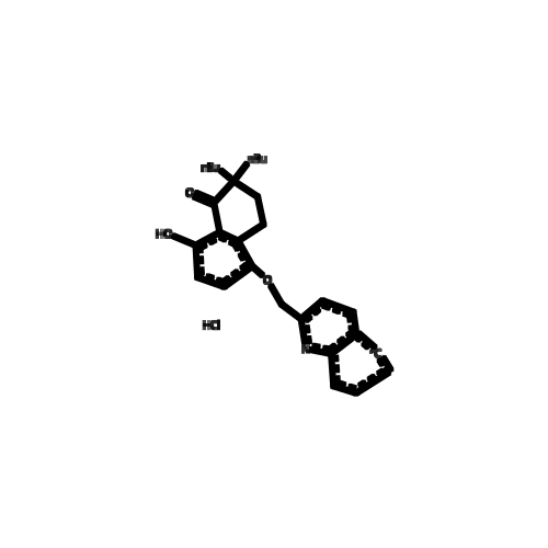 CCCCC1(CCCC)CCc2c(OCc3ccc4ccccc4n3)ccc(O)c2C1=O.Cl